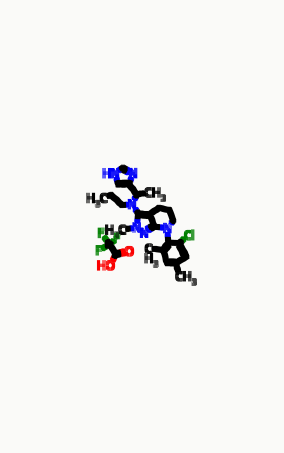 CCCN(c1c2c(nn1C)N(c1c(C)cc(C)cc1Cl)CCC2)C(C)c1c[nH]cn1.O=C(O)C(F)(F)F